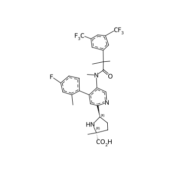 Cc1cc(F)ccc1-c1cc([C@H]2CC[C@](C)(C(=O)O)N2)ncc1N(C)C(=O)C(C)(C)c1cc(C(F)(F)F)cc(C(F)(F)F)c1